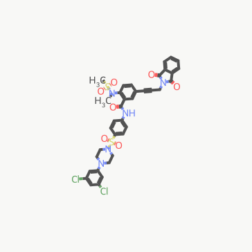 CN(c1ccc(C#CCN2C(=O)c3ccccc3C2=O)cc1C(=O)Nc1ccc(S(=O)(=O)N2CCN(c3cc(Cl)cc(Cl)c3)CC2)cc1)S(C)(=O)=O